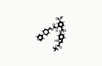 CC(C)(C)OC(=O)c1cc2ccc(NC(=O)c3ccc([N+](=O)[O-])cc3NC(=O)OCC3CCN(c4ccncc4)CC3)cc2[nH]1